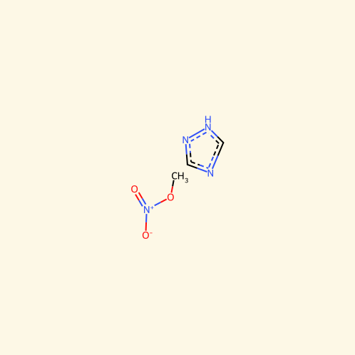 CO[N+](=O)[O-].c1nc[nH]n1